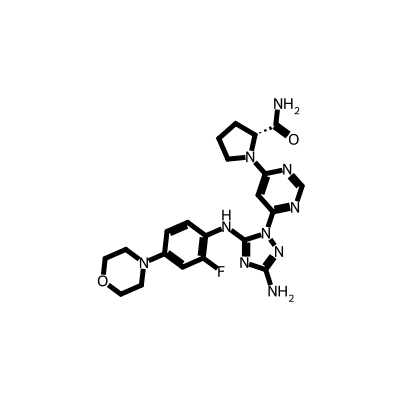 NC(=O)[C@H]1CCCN1c1cc(-n2nc(N)nc2Nc2ccc(N3CCOCC3)cc2F)ncn1